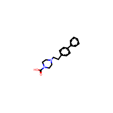 O=C(O)N1CCN(CCc2ccc(-c3ccccc3)cc2)CC1